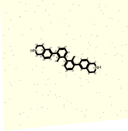 Cc1c(-c2ccc3c(c2)CCNC3)cccc1-c1cccc(-c2ccc3c(c2)CCNC3)c1C